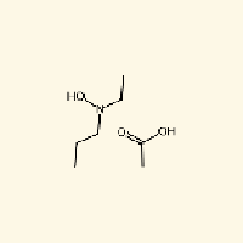 CC(=O)O.CCCN(O)CC